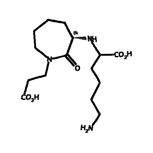 NCCCCC(N[C@H]1CCCCN(CCC(=O)O)C1=O)C(=O)O